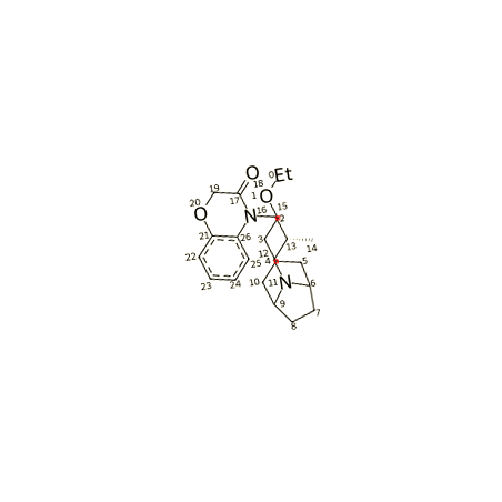 CCOCCC1CC2CCC(C1)N2C[C@@H](C)CN1C(=O)COc2ccccc21